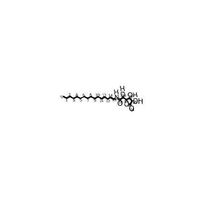 CCCCCCCCCCCCCC/C=C/NC(=O)[C@H](O)[C@H]1OC(=O)[C@@H](O)[C@H]1O